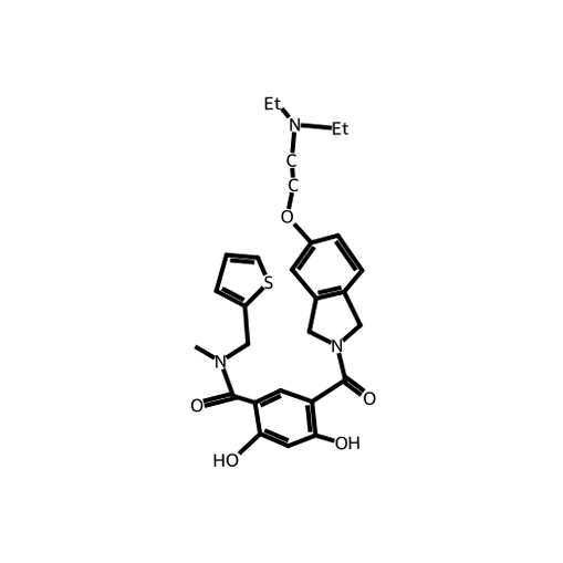 CCN(CC)CCOc1ccc2c(c1)CN(C(=O)c1cc(C(=O)N(C)Cc3cccs3)c(O)cc1O)C2